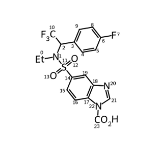 CCN(C(c1ccc(F)cc1)C(F)(F)F)S(=O)(=O)c1ccc2c(c1)ncn2C(=O)O